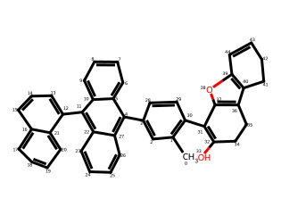 Cc1cc(-c2c3ccccc3c(-c3cccc4ccccc34)c3ccccc23)ccc1C1=C(O)CCc2c1oc1c2CCC=C1